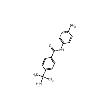 CC(C)(N)c1ccc(C(=O)Nc2ccc(N)cc2)cc1